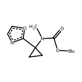 CN(C(=O)OC(C)(C)C)C1(c2ncco2)CC1